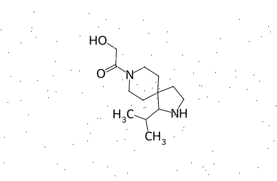 CC(C)C1NCCC12CCN(C(=O)CO)CC2